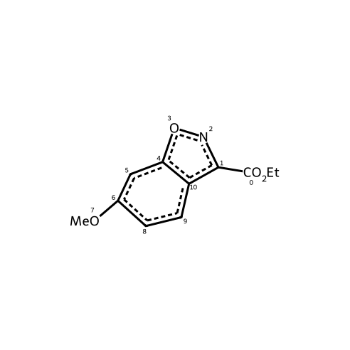 CCOC(=O)c1noc2cc(OC)ccc12